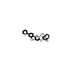 Oc1cc(-c2ccccn2)ccc1-c1ccc(O[C@H]2C[C@@H]3CCC[C@@H](N3)[C@H]2F)nn1